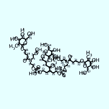 COCCN(CCOP(=O)(O)OCCC(CCOP(=O)(O)OCCN(CCO)C(=O)CCCO[C@@H]1OC(CO)[C@H](O)[C@H](O)C1C)C(=O)CCCO[C@@H]1OC(CO)[C@H](O)[C@H](O)C1C)C(=O)CCCO[C@@H]1OC(CO)[C@H](O)[C@H](O)C1C